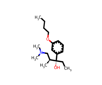 CCCCOc1cccc([C@@](O)(CC)[C@@H](C)CN(C)C)c1